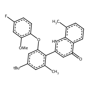 COc1cc(F)ccc1Oc1cc(C(C)(C)C)cc(C)c1-c1cc(=O)c2cccc(C)c2[nH]1